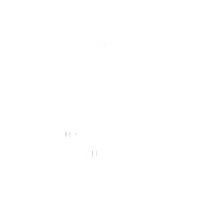 CC(C)=C1c2ccccc2C(=O)c2cc(-c3ccc(O)cc3)ccc21